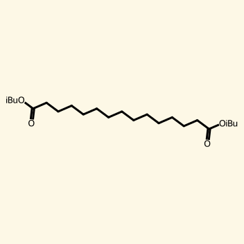 CC(C)COC(=O)CCCCCCCCCCCCCC(=O)OCC(C)C